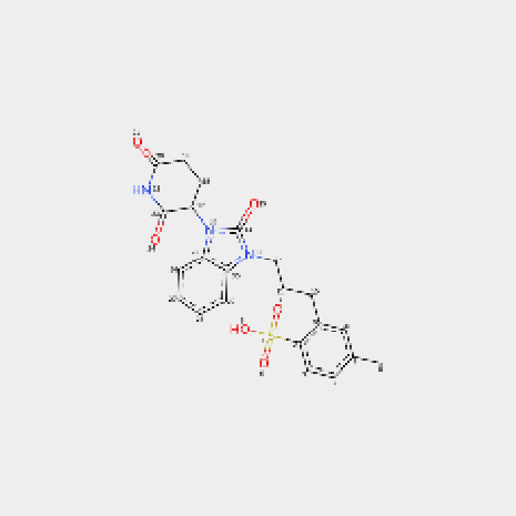 Cc1ccc(S(=O)(=O)O)c(CCCn2c(=O)n(C3CCC(=O)NC3=O)c3ccccc32)c1